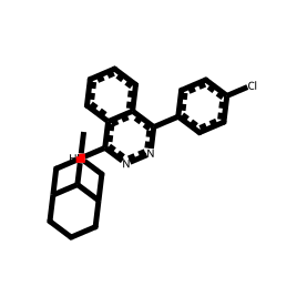 CN1CC2CCCC(C1)C2Nc1nnc(-c2ccc(Cl)cc2)c2ccccc12